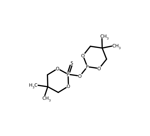 CC1(C)COP(OP2(=S)OCC(C)(C)CO2)OC1